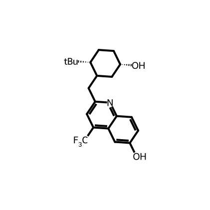 CC(C)(C)[C@@H]1CC[C@H](O)CC1Cc1cc(C(F)(F)F)c2cc(O)ccc2n1